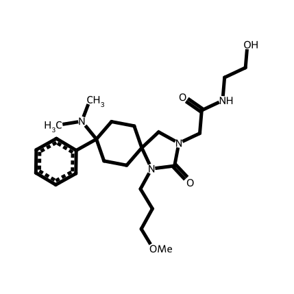 COCCCN1C(=O)N(CC(=O)NCCO)CC12CCC(c1ccccc1)(N(C)C)CC2